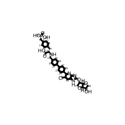 O=C(O)[C@H](Cc1ccc(CP(=O)(O)O)cc1)NCc1ccc(-c2ccc(-c3nc4nc(O[C@@H]5CO[C@H]6[C@@H]5OC[C@H]6O)[nH]c4cc3Cl)cc2)cc1